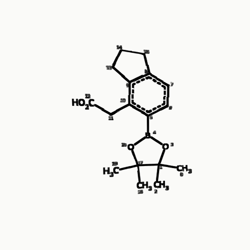 CC1(C)OB(c2ccc3c(c2CC(=O)O)CCC3)OC1(C)C